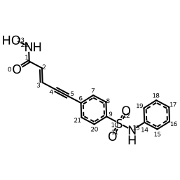 O=C(C=CC#Cc1ccc(S(=O)(=O)Nc2ccccc2)cc1)NO